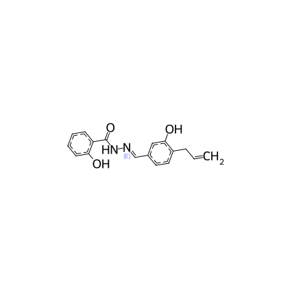 C=CCc1ccc(/C=N/NC(=O)c2ccccc2O)cc1O